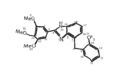 COc1cc(-c2nc3c(Cc4ccccc4C(F)(F)F)cccc3[nH]2)cc(OC)c1OC